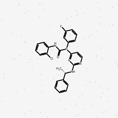 C[C@H](Nc1nccc(N(C(=O)Nc2ccccc2Cl)c2cccc(F)c2)n1)c1ccccc1